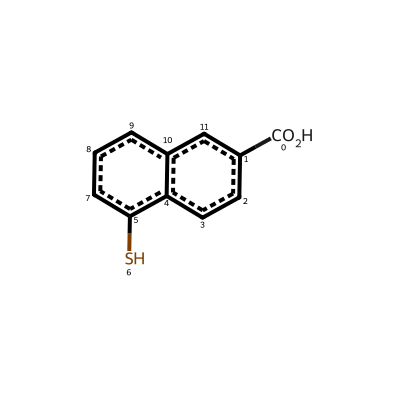 O=C(O)c1ccc2c(S)cccc2c1